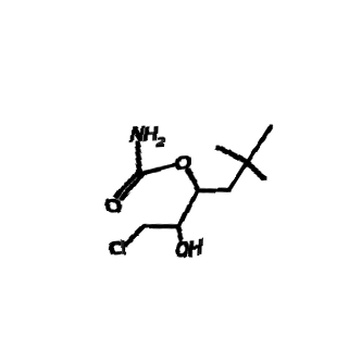 CC(C)(C)CC(OC(N)=O)C(O)CCl